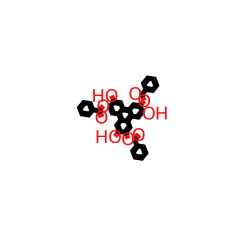 O=C(Oc1cc2c(cc1O)c1cc(OC(=O)c3ccccc3)c(O)cc1c1cc(OC(=O)c3ccccc3)c(O)cc21)c1ccccc1